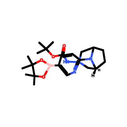 CC(C)(C)OC(=O)NN1CC2CC[C@H](C1)N2c1ccc(B2OC(C)(C)C(C)(C)O2)cn1